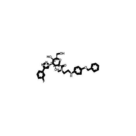 CN(CCNc1ccc(OCc2ccccc2)cc1)C(=O)[C@@H]1O[C@H](CO)[C@H](O)[C@H](n2cc(-c3cccc(F)c3)nn2)[C@H]1O